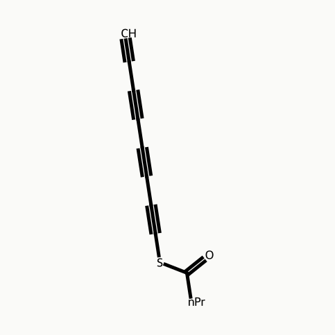 C#CC#CC#CC#CSC(=O)CCC